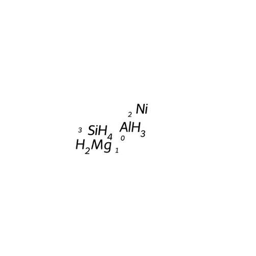 [AlH3].[MgH2].[Ni].[SiH4]